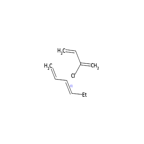 C=C/C=C/CC.C=CC(=C)Cl